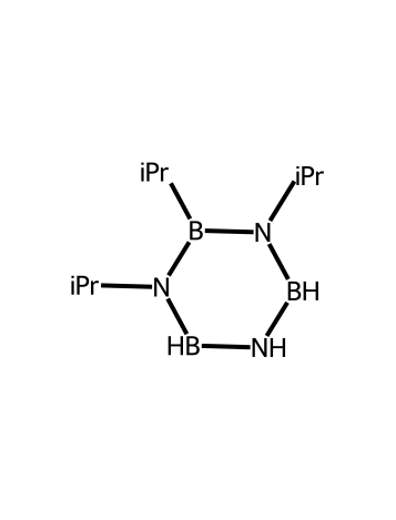 CC(C)B1N(C(C)C)BNBN1C(C)C